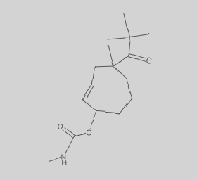 CNC(=O)OC1/C=C/CC(C)(C(=O)C(C)(C)C)CCC1